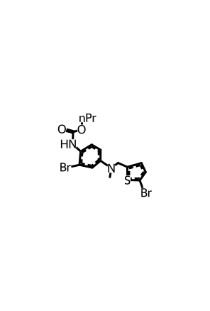 CCCOC(=O)Nc1ccc(N(C)Cc2ccc(Br)s2)cc1Br